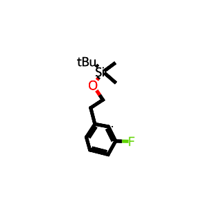 CC(C)(C)[Si](C)(C)OCCc1[c]c(F)ccc1